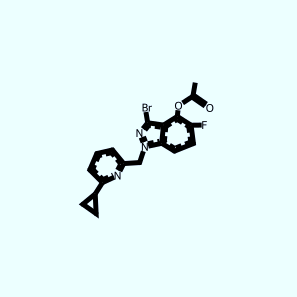 CC(=O)Oc1c(F)ccc2c1c(Br)nn2Cc1cccc(C2CC2)n1